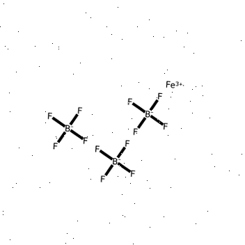 F[B-](F)(F)F.F[B-](F)(F)F.F[B-](F)(F)F.[Fe+3]